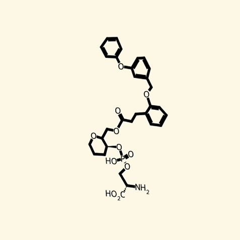 N[C@@H](COP(=O)(O)O[C@H]1CCCOC1COC(=O)CCc1ccccc1OCc1cccc(Oc2ccccc2)c1)C(=O)O